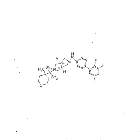 BC(B)(N1C[C@H]2C[C@H](Nc3ccc(-c4cc(F)cc(F)c4F)nn3)C[C@H]2C1)C1(C)CCOCC1